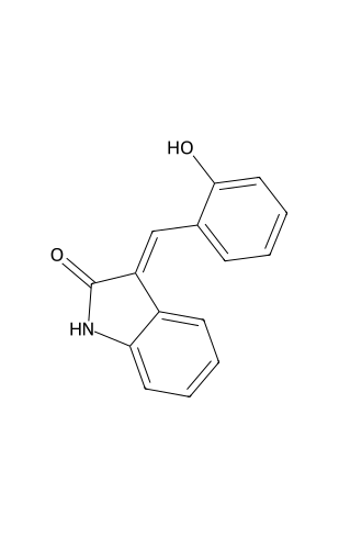 O=C1Nc2ccccc2/C1=C\c1ccccc1O